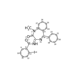 CN1C(=O)C(NC(=O)c2ccccc2I)N=C(c2ccccc2)c2ccccc21